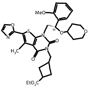 CCOC(=O)C1CC(Cn2c(=O)c3c(C)c(-c4ncco4)sc3n(C[C@@H](OC3CCOCC3)c3ccccc3OC)c2=O)C1